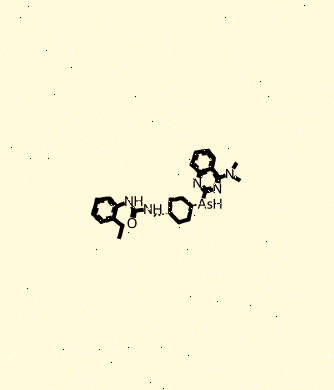 CCc1ccccc1NC(=O)NC[C@H]1CC[C@@H]([AsH]c2nc(N(C)C)c3ccccc3n2)CC1